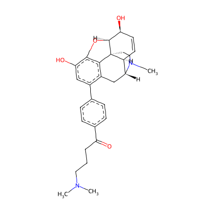 CN(C)CCCC(=O)c1ccc(-c2cc(O)c3c4c2C[C@@H]2[C@@H]5C=C[C@H](O)[C@H](O3)[C@]45CCN2C)cc1